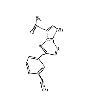 C#Cc1cccc(-c2cnc3[nH]cc(C(=O)C(C)(C)C)c3n2)c1